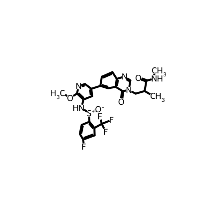 CNC(=O)C(C)Cn1cnc2ccc(-c3cnc(OC)c(N[S+]([O-])c4ccc(F)cc4C(F)(F)F)c3)cc2c1=O